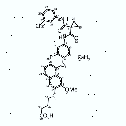 COc1cc2c(Oc3ccc(NC(=O)C4(C(=O)Nc5cccc(Cl)c5)CC4)cc3F)ccnc2cc1OCCCC(=O)O.[CaH2]